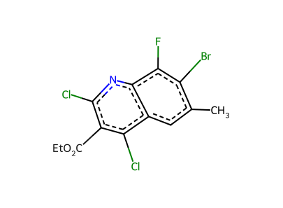 CCOC(=O)c1c(Cl)nc2c(F)c(Br)c(C)cc2c1Cl